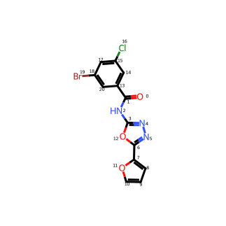 O=C(Nc1nnc(-c2ccco2)o1)c1cc(Cl)cc(Br)c1